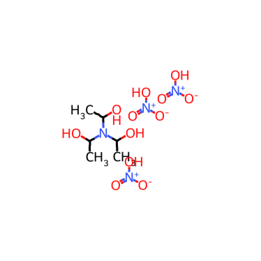 CC(O)N(C(C)O)C(C)O.O=[N+]([O-])O.O=[N+]([O-])O.O=[N+]([O-])O